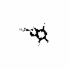 Cn1cc2c(Br)c(F)cc(F)c2n1